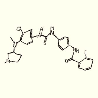 CN1CCC(N(C)c2ccc(NC(=S)Nc3ccc(NC(=O)c4ccccc4F)cc3)cc2Cl)C1